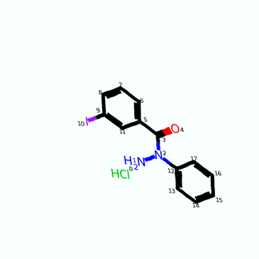 Cl.NN(C(=O)c1cccc(I)c1)c1ccccc1